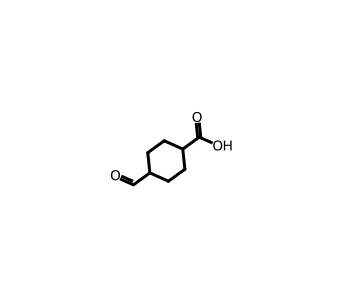 O=CC1CCC(C(=O)O)CC1